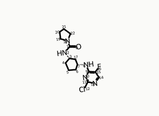 O=C(N[C@H]1CCC[C@@H](Nc2nc(Cl)ncc2F)C1)N1CCCC1